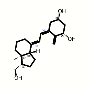 C=C1/C(=C\C=C2/CCC[C@]3(C)[C@@H](CO)CC[C@@H]23)C[C@@H](O)C[C@@H]1O